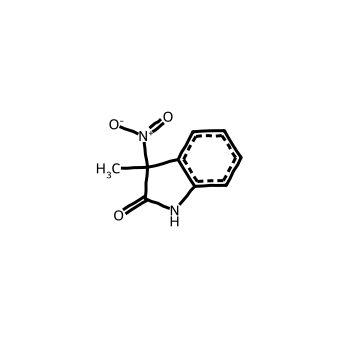 CC1([N+](=O)[O-])C(=O)Nc2ccccc21